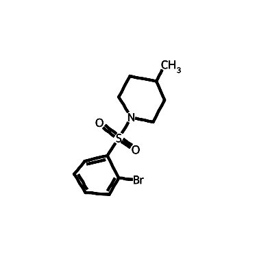 CC1CCN(S(=O)(=O)c2ccccc2Br)CC1